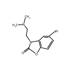 CC(C)c1ccc2oc(=O)n(CCN(C)C)c2c1